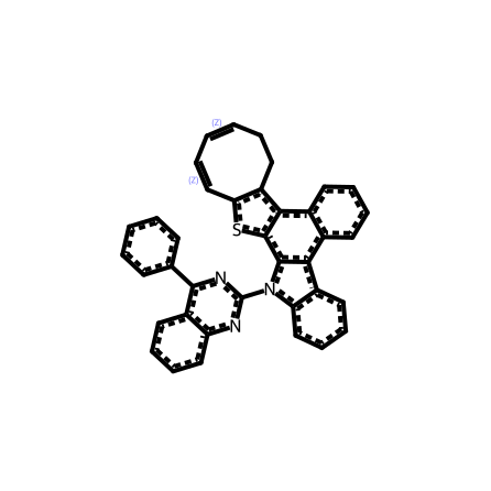 C1=C\CCc2c(sc3c2c2ccccc2c2c4ccccc4n(-c4nc(-c5ccccc5)c5ccccc5n4)c32)\C=C/1